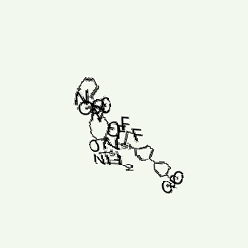 CC(C)C[C@@H](C(N)=O)N(C1CCCN(S(=O)(=O)c2ccccn2)CC1=O)[C@@H](c1ccc(-c2ccc(S(C)(=O)=O)cc2)cc1)C(F)(F)F